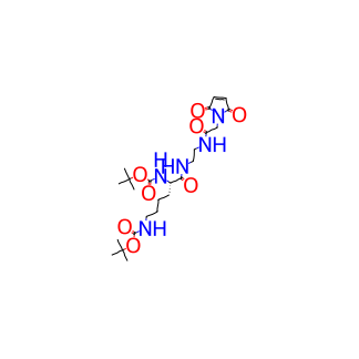 CC(C)(C)OC(=O)NCCCC[C@H](NC(=O)OC(C)(C)C)C(=O)NCCNC(=O)CN1C(=O)C=CC1=O